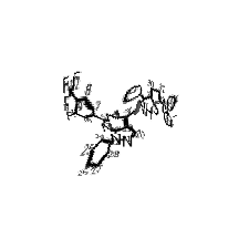 O=C(Nc1nc(-c2ccc(C(F)(F)F)c(F)c2)nc2c1cnn2-c1ccccc1)c1ccc([N+](=O)[O-])s1